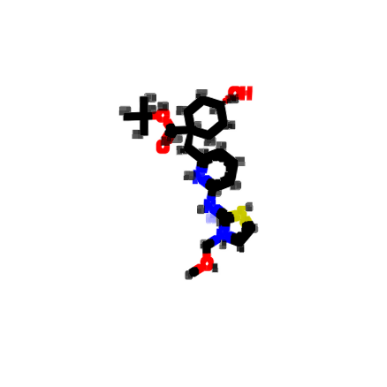 COCn1ccs/c1=N\c1cccc(C[C@]2(C(=O)OC(C)(C)C)CC[C@@H](O)CC2)n1